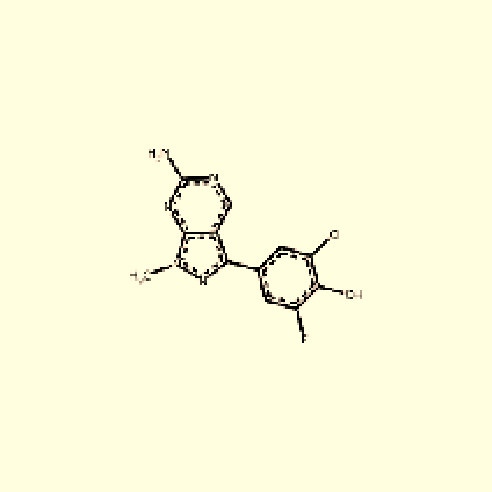 Cn1nc(-c2cc(F)c(O)c(Cl)c2)c2cnc(N)nc21